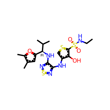 CCNS(=O)(=O)c1scc(Nc2nsnc2N[C@@H](c2cc(C)c(C)o2)C(C)C)c1O